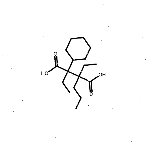 CCCC(CC)(C(=O)O)C(CC)(C(=O)O)C1CCCCC1